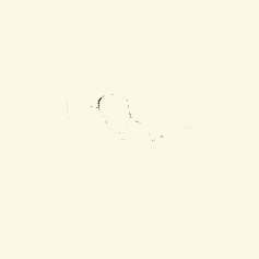 C/C1=C/CCC(O[Si](C)(C)C)CCC1